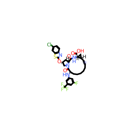 O=C1N[C@]2(C(=O)O)C[C@H]2/C=C\CCCCC[C@H](Nc2cc(F)cc(C(F)(F)F)c2)C(=O)N2C[C@H](Oc3nc4ccc(Cl)cc4s3)C[C@@H]12